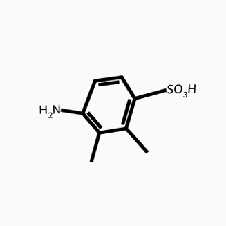 Cc1c(N)ccc(S(=O)(=O)O)c1C